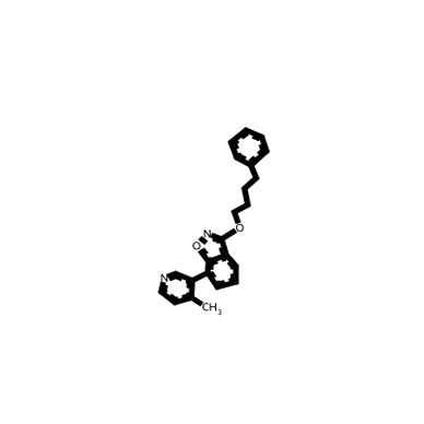 Cc1ccncc1-c1cccc2c(OCCCCc3ccccc3)noc12